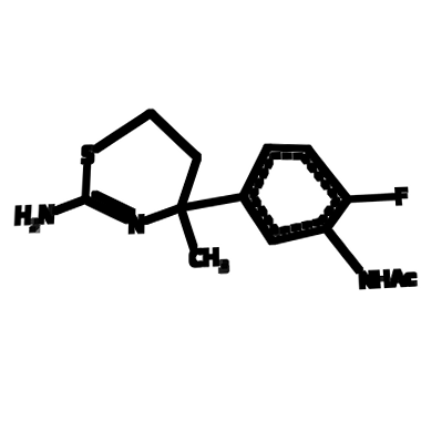 CC(=O)Nc1cc(C2(C)CCSC(N)=N2)ccc1F